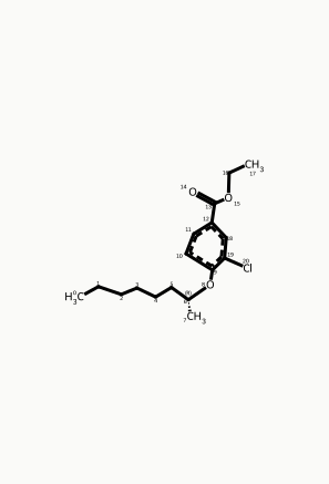 CCCCCC[C@@H](C)Oc1ccc(C(=O)OCC)cc1Cl